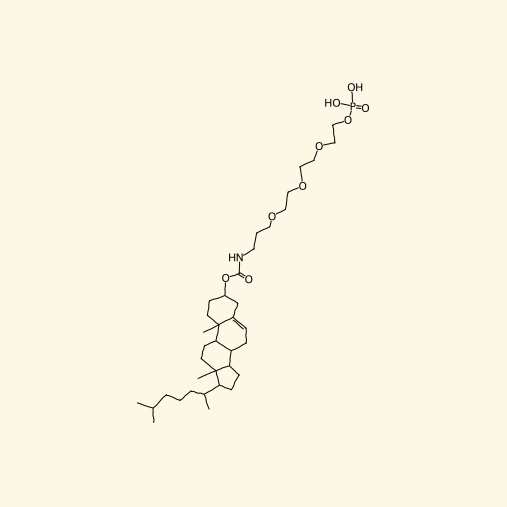 CC(C)CCCC(C)C1CCC2C3CC=C4CC(OC(=O)NCCCOCCOCCOCCOP(=O)(O)O)CCC4(C)C3CCC12C